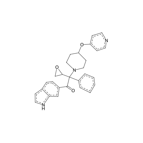 O=C(c1ccc2cc[nH]c2c1)C(c1ccccc1)(C1CO1)N1CCC(Oc2ccncc2)CC1